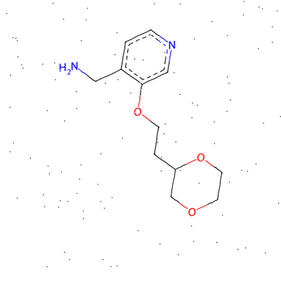 NCc1ccncc1OCCC1COCCO1